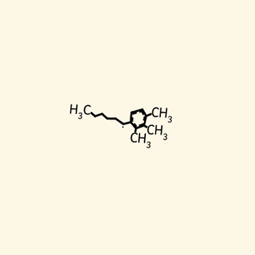 CCCCC[CH]c1ccc(C)c(C)c1C